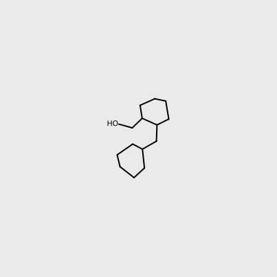 OCC1CCCCC1CC1CCCCC1